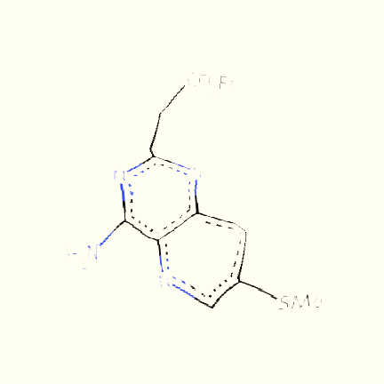 CCOC(=O)Cc1nc(N)c2ncc(SC)cc2n1